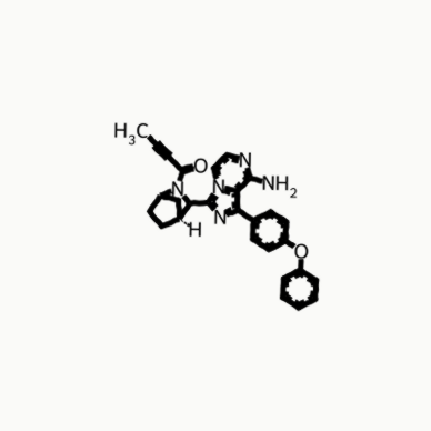 CC#CC(=O)N1C2CC[C@@H](C2)C1c1nc(-c2ccc(Oc3ccccc3)cc2)c2c(N)nccn12